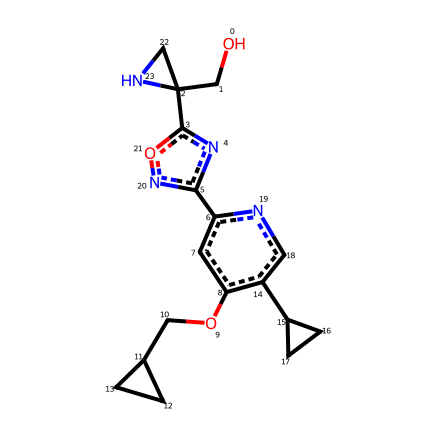 OCC1(c2nc(-c3cc(OCC4CC4)c(C4CC4)cn3)no2)CN1